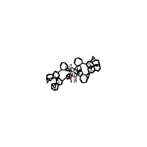 CC1=CC2=C(C=CC=CC2c2cc(OC3CC3)c3ccccc3c2)[C]12[SiH](C)[C]1(C(C)=CC3=C1C=CC=CC3c1cc(OC3CC3)c3ccccc3c1)[Zr]21([Cl])([Cl])[C]2(C(C)=CC3=C2C=CC=CC3c2cc(OC3CC3)c3ccccc3c2)[SiH](C)[C]12C(C)=CC1=C2C=CC=CC1c1cc(OC2CC2)c2ccccc2c1